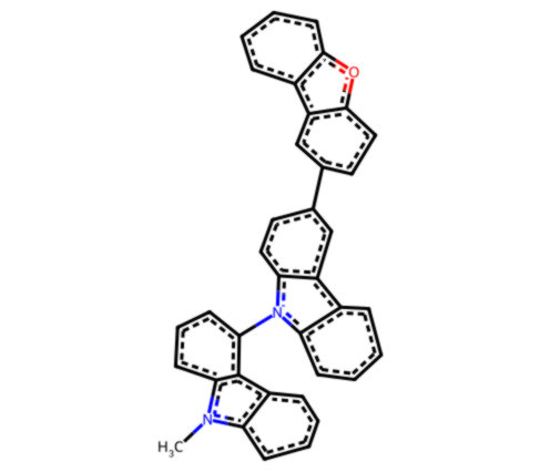 Cn1c2ccccc2c2c(-n3c4ccccc4c4cc(-c5ccc6oc7ccccc7c6c5)ccc43)cccc21